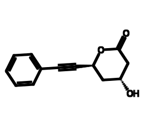 O=C1C[C@H](O)C[C@@H](C#Cc2ccccc2)O1